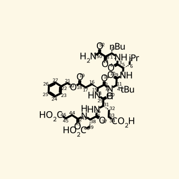 CCCC[C@H](NC(=O)[C@H](CC(C)C)NC(=O)[C@@H](NC(=O)[C@H](CCC(=O)OCc1ccccc1)NC(=O)[C@H](CCC(=O)O)NC(=O)[C@H](CC(=O)O)NC(=O)CCC(=O)O)C(C)(C)C)C(=O)C(N)=O